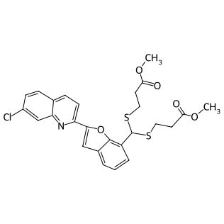 COC(=O)CCSC(SCCC(=O)OC)c1cccc2cc(-c3ccc4ccc(Cl)cc4n3)oc12